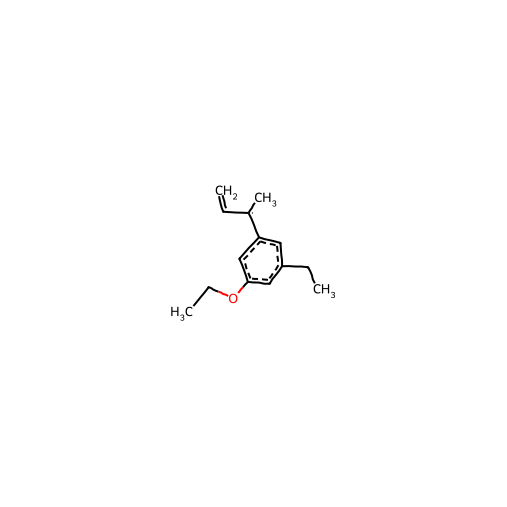 C=C[C](C)c1cc(CC)cc(OCC)c1